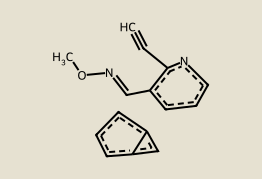 C#Cc1ncccc1C=NOC.c1cc2cc-2c1